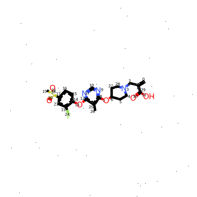 C=C(CN1CCC(Oc2ncnc(Oc3ccc(S(C)(=O)=O)cc3F)c2C)CC1)C(=O)O